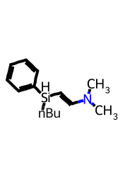 CCCC[SiH](C=CN(C)C)c1ccccc1